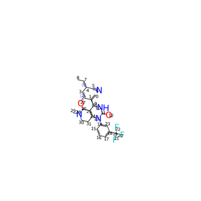 C=C(/C=C\C(C#N)=C/C)[C@H]1NC(=O)N(c2cccc(C(F)(F)F)c2)C2=C1C(=O)N(C)CC2